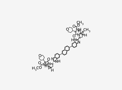 COC(=O)N[C@H](C(=O)N1[C@@H]2[C@H](C)[C@@H]2C[C@H]1c1nc2ccc(-c3ccc4cc(-c5ccc6nc([C@@H]7C[C@H]8C[C@H]8N7C(=O)[C@@H](NC(=O)OC)C7CCOCC7)[nH]c6c5)ccc4c3)cc2[nH]1)C1CCOCC1